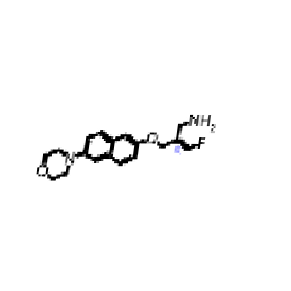 NC/C(=C\F)COc1ccc2cc(N3CCOCC3)ccc2c1